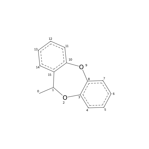 CC1Oc2ccccc2Oc2ccccc21